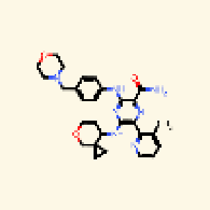 Cc1cccnc1-c1nc(C(N)=O)c(Nc2ccc(CN3CCOCC3)cc2)nc1NC1CCOCC12CC2